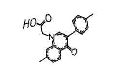 Cc1ccc(-c2cn(CC(=O)O)c3cc(C)ccc3c2=O)cc1